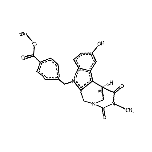 CN1C(=O)[C@H]2CN(Cc3c2c2cc(O)ccc2n3Cc2ccc(C(=O)OC(C)(C)C)cc2)C1=O